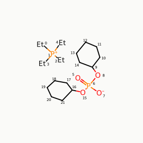 CC[P+](CC)(CC)CC.O=P([O-])(OC1CCCCC1)OC1CCCCC1